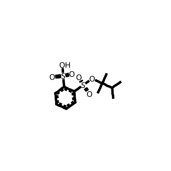 CC(C)C(C)(C)OS(=O)(=O)c1ccccc1S(=O)(=O)O